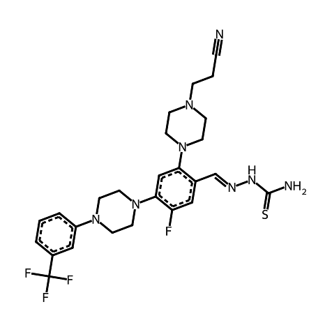 N#CCCN1CCN(c2cc(N3CCN(c4cccc(C(F)(F)F)c4)CC3)c(F)cc2/C=N/NC(N)=S)CC1